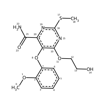 COc1ccccc1Oc1c(OCCO)nc(SC)nc1C(N)=O